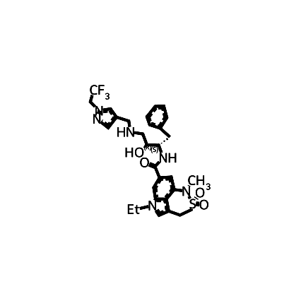 CCn1cc2c3c(cc(C(=O)N[C@@H](Cc4ccccc4)[C@H](O)CNCc4cnn(CC(F)(F)F)c4)cc31)N(C)S(=O)(=O)CC2